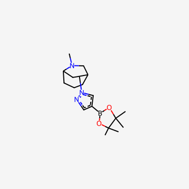 CN1CC2CCCC1CC2n1cc(B2OC(C)(C)C(C)(C)O2)cn1